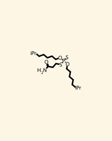 CC(C)CCCCCOP(=S)(OCCCCCC(C)C)SCCC(N)=O